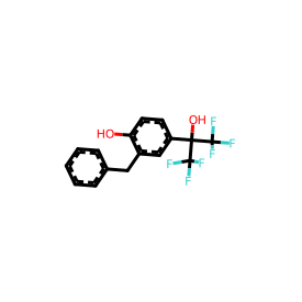 Oc1ccc(C(O)(C(F)(F)F)C(F)(F)F)cc1Cc1ccccc1